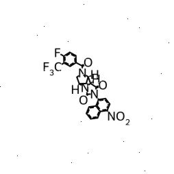 O=C1[C@H]2[C@@H]3C[C@@H](CN3C(=O)c3ccc(F)c(C(F)(F)F)c3)N2C(=O)N1c1ccc([N+](=O)[O-])c2ccccc12